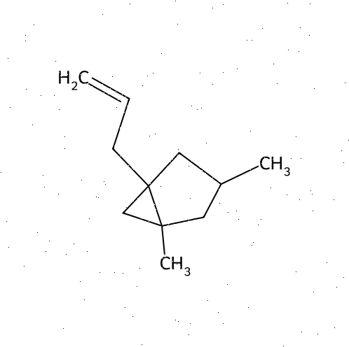 C=CCC12CC(C)CC1(C)C2